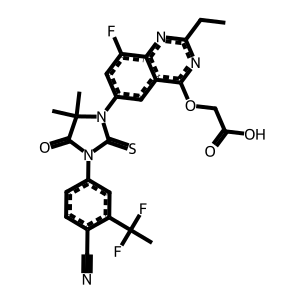 CCc1nc(OCC(=O)O)c2cc(N3C(=S)N(c4ccc(C#N)c(C(C)(F)F)c4)C(=O)C3(C)C)cc(F)c2n1